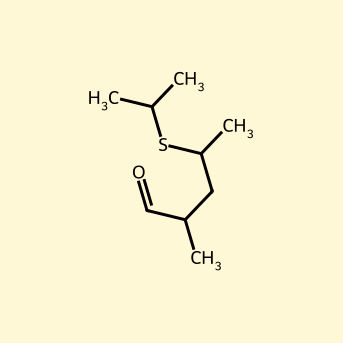 CC(C=O)CC(C)SC(C)C